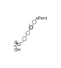 C=C(CO)C(=O)OCCC1CCC(C2CCC(c3ccc(C4CCC(CCCCC)CC4)c(C)c3)CC2)CC1